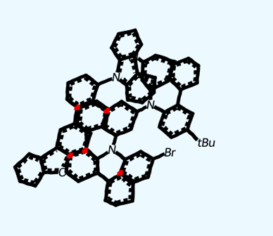 CC(C)(C)c1ccc(N(c2cccc(Cl)c2)c2cc(-c3c(-c4ccc5oc6ccccc6c5c4)cccc3-n3c4ccccc4c4ccccc43)cc(N(c3cccc(Br)c3)c3c(-c4ccccc4)cccc3-c3ccccc3)c2)c(-c2ccccc2)c1